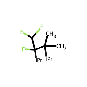 CC(C)C(C)(C)C(F)(C(C)C)C(F)F